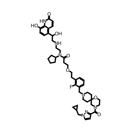 O=C(c1ccn(CC2CC2)n1)N1CCOC2(CCN(Cc3cccc(CCOCCC(=O)N(CCNCC(O)c4ccc(O)c5[nH]c(=O)ccc45)C4CCCC4)c3F)CC2)C1